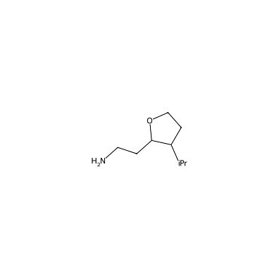 CC(C)C1CCOC1CCN